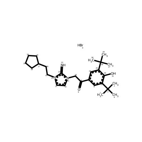 Br.CC(C)(C)c1cc(C(=O)Cn2ccn(CCC3CCCC3)c2=N)cc(C(C)(C)C)c1O